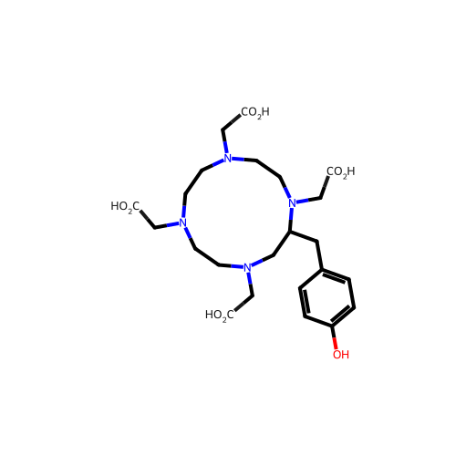 O=C(O)CN1CCN(CC(=O)O)CCN(CC(=O)O)C(Cc2ccc(O)cc2)CN(CC(=O)O)CC1